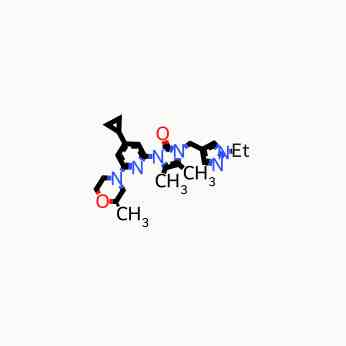 CCn1cc(Cn2c(C)c(C)n(-c3cc(C4CC4)cc(N4CCO[C@H](C)C4)n3)c2=O)cn1